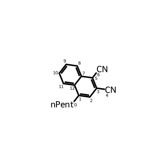 CCCCCc1cc(C#N)c(C#N)c2ccccc12